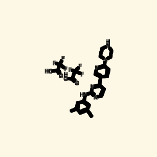 Cc1cc(C)cc(Nc2nccc(-c3ccc(N4CCNCC4)nc3)n2)c1.O=C(O)C(F)(F)F.O=C(O)C(F)(F)F